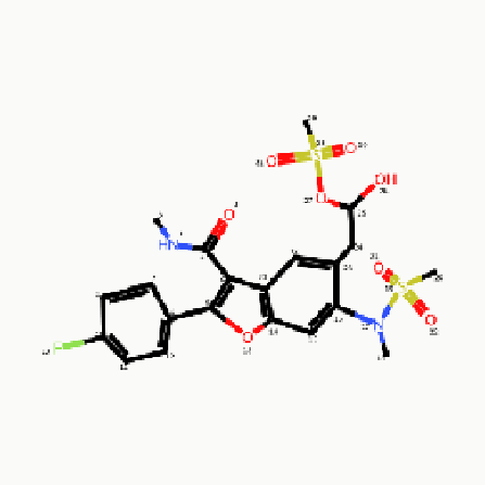 CNC(=O)c1c(-c2ccc(F)cc2)oc2cc(N(C)S(C)(=O)=O)c(CC(O)OS(C)(=O)=O)cc12